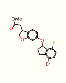 COC(=O)CC1COc2cc(OC3CCc4c(Br)ccc(F)c43)ccc21